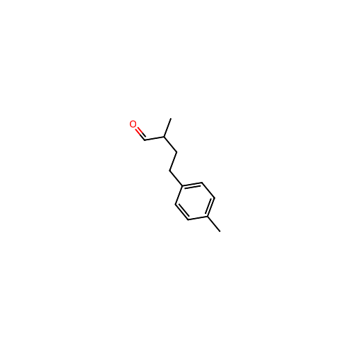 Cc1ccc(CCC(C)C=O)cc1